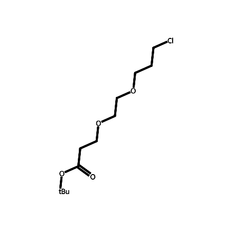 CC(C)(C)OC(=O)CCOCCOCCCCl